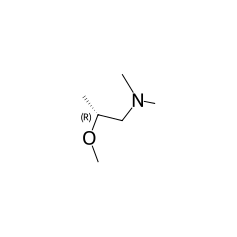 CO[C@H](C)CN(C)C